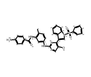 Cc1ccc(Nc2ncc(Cl)c(-c3cn(S(=O)(=O)c4ccccc4)c4ccccc34)n2)cc1NC(=O)c1ccc(N)cc1